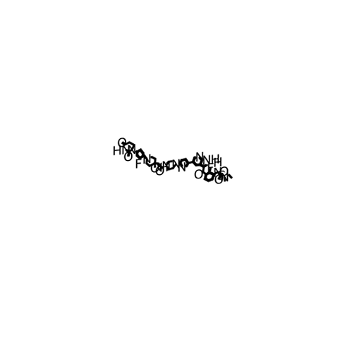 CCN(C)S(=O)(=O)Nc1cccc(C(=O)c2c[nH]c3ncc(-c4ccc(N5CCN(C(=O)CC6(O)CCN(c7ccc(N8CCC(=O)NC8=O)cc7F)CC6)CC5)nc4)cc23)c1F